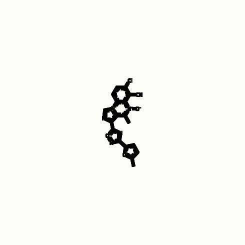 Cc1ccc(-c2noc(-c3ncn4c3c(C)[n+]([O-])c3c(C#N)c(Cl)ccc34)n2)o1